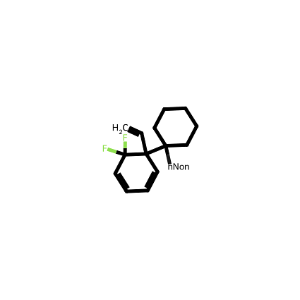 C=CC1(C2(CCCCCCCCC)CCCCC2)C=CC=CC1(F)F